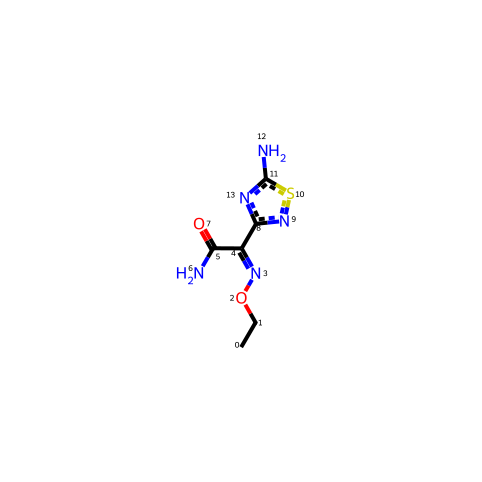 CCON=C(C(N)=O)c1nsc(N)n1